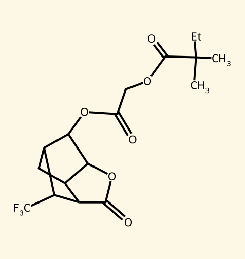 CCC(C)(C)C(=O)OCC(=O)OC1C2CC3C1OC(=O)C3C2C(F)(F)F